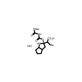 CCC(C)C(C(=O)O)[C@]1(OC(=O)NC(=O)OC)CC2CCCC2N1.Cl